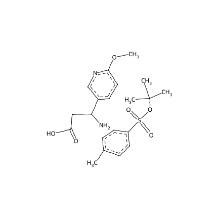 COc1ccc(C(N)CC(=O)O)cn1.Cc1ccc(S(=O)(=O)OC(C)(C)C)cc1